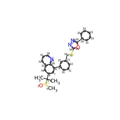 C[S+]([O-])C(C)(C)c1cc(-c2cccc(CSc3nnc(-c4ccccc4)o3)c2)c2ncccc2c1